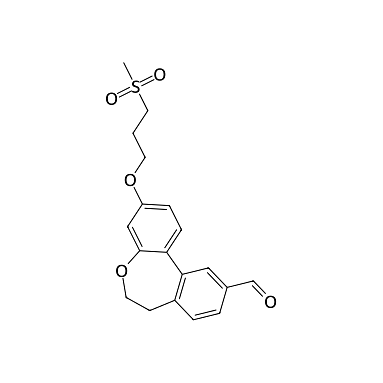 CS(=O)(=O)CCCOc1ccc2c(c1)OCCc1ccc(C=O)cc1-2